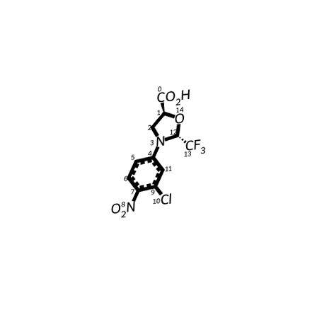 O=C(O)[C@@H]1CN(c2ccc([N+](=O)[O-])c(Cl)c2)[C@@H](C(F)(F)F)O1